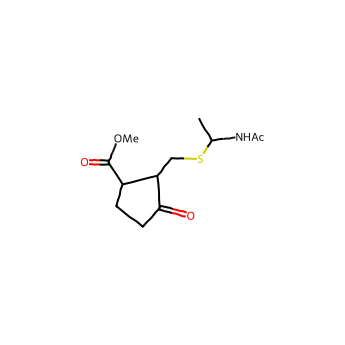 COC(=O)C1CCC(=O)C1CSC(C)NC(C)=O